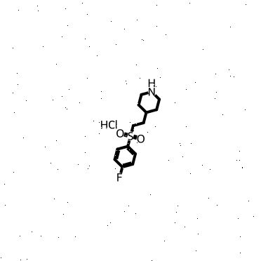 Cl.O=S(=O)(CCC1CCNCC1)c1ccc(F)cc1